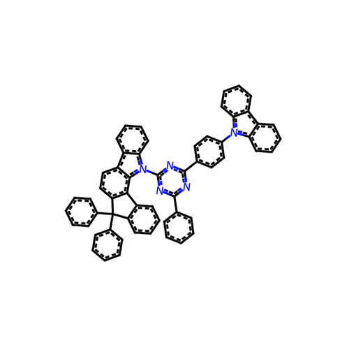 c1ccc(-c2nc(-c3ccc(-n4c5ccccc5c5ccccc54)cc3)nc(-n3c4ccccc4c4ccc5c(c43)-c3ccccc3C5(c3ccccc3)c3ccccc3)n2)cc1